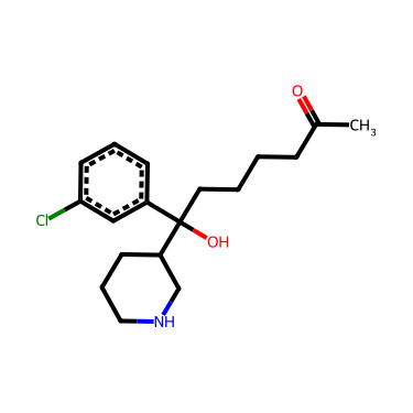 CC(=O)CCCCC(O)(c1cccc(Cl)c1)C1CCCNC1